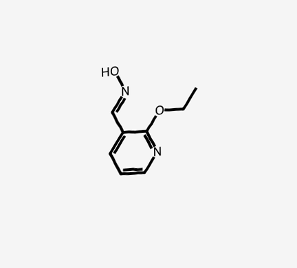 CCOc1ncccc1C=NO